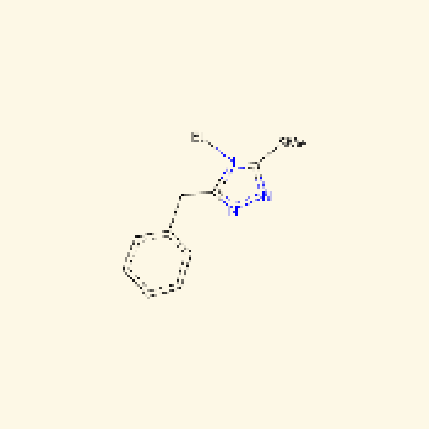 CCn1c(Cc2ccccc2)nnc1SC